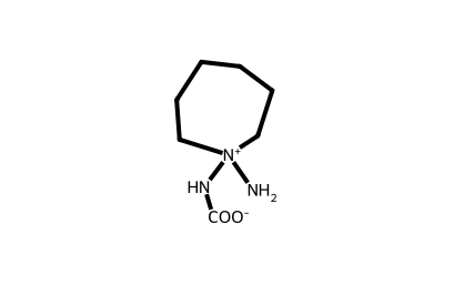 N[N+]1(NC(=O)[O-])CCCCCC1